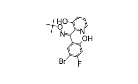 CC(C)(C)ON=C(c1cc(Br)c(F)cc1O)c1ncccc1O